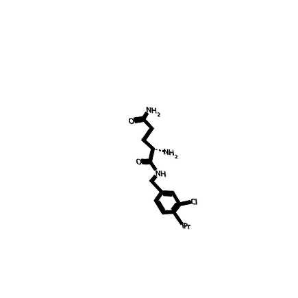 CC(C)c1ccc(CNC(=O)[C@@H](N)CCC(N)=O)cc1Cl